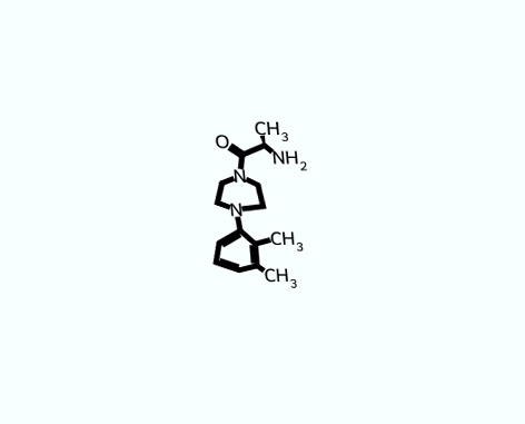 Cc1cccc(N2CCN(C(=O)[C@@H](C)N)CC2)c1C